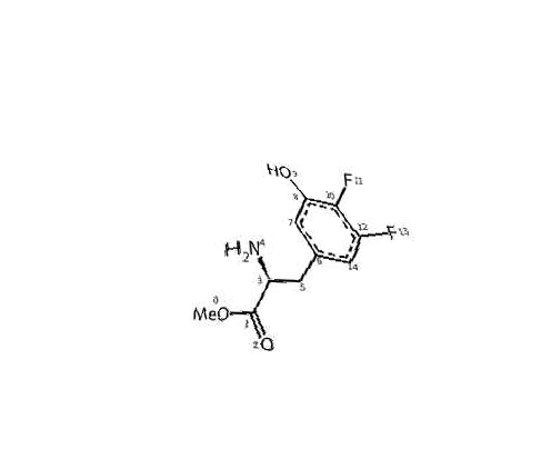 COC(=O)[C@@H](N)Cc1cc(O)c(F)c(F)c1